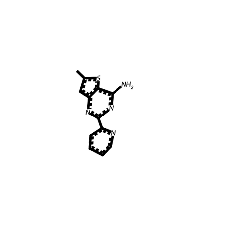 Cc1cc2nc(-c3ccccn3)nc(N)c2s1